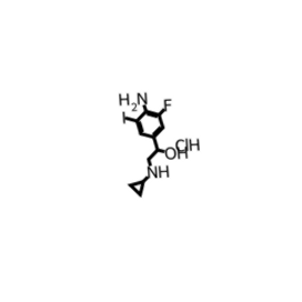 Cl.Nc1c(F)cc(C(O)CNC2CC2)cc1I